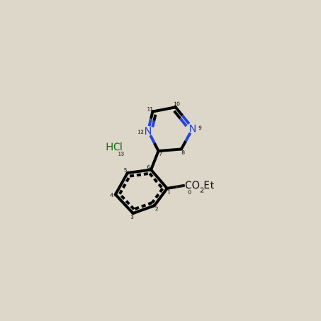 CCOC(=O)c1ccccc1C1CN=CC=N1.Cl